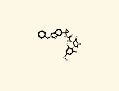 COc1cc(F)c([C@@H]2CNC(=O)[C@H]2NC(=O)NC2(c3ccc4cn(Cc5ccccc5)nc4c3)CC2)c(F)c1